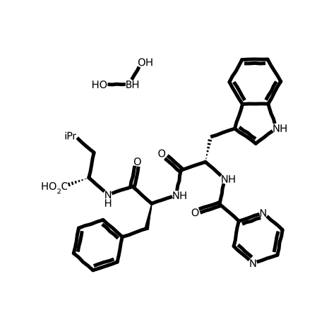 CC(C)C[C@H](NC(=O)[C@H](Cc1ccccc1)NC(=O)[C@H](Cc1c[nH]c2ccccc12)NC(=O)c1cnccn1)C(=O)O.OBO